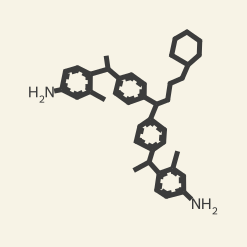 Cc1cc(N)ccc1C(C)c1ccc(C(CCCC2CCCCC2)c2ccc(C(C)c3ccc(N)cc3C)cc2)cc1